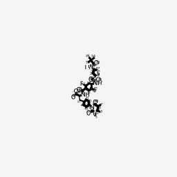 Cc1c(C)n(C)c(=O)n(-c2ccc(C[C@H](NC(=O)c3cc(F)c(NS(=O)(=O)c4cc(NC(=O)C(C)(C)C)cs4)cc3F)C(=O)O)cc2)c1=O